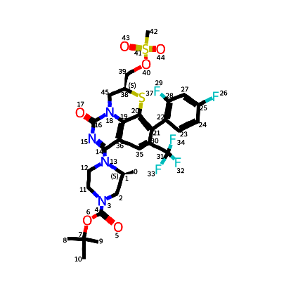 C[C@H]1CN(C(=O)OC(C)(C)C)CCN1c1nc(=O)n2c3c(c(-c4ccc(F)cc4F)c(C(F)(F)F)cc13)S[C@H](COS(C)(=O)=O)C2